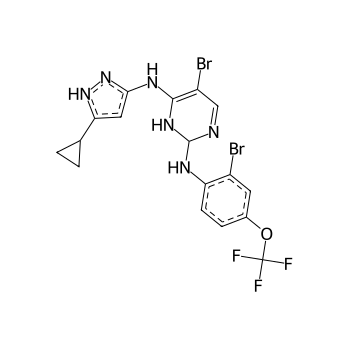 FC(F)(F)Oc1ccc(NC2N=CC(Br)=C(Nc3cc(C4CC4)[nH]n3)N2)c(Br)c1